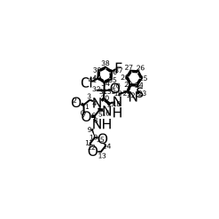 CC(=O)Cn1c(C(=O)NC[C@@H]2COCCO2)nc(NC(=O)c2nsc3ccccc23)c1C(C)(C)c1cc(F)ccc1Cl